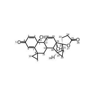 C[C@]12C=CC(=O)C=C1C1(CC1)CC1C2C=C[C@@]2(C)C1[C@@H]1CC1[C@@]21CCC(=O)O1